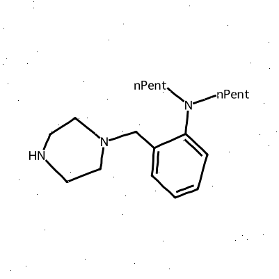 CCCCCN(CCCCC)c1ccccc1CN1CCNCC1